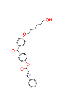 O=C(/C=C/c1ccccc1)Oc1ccc(C(=O)c2ccc(OCCCCCCO)cc2)cc1